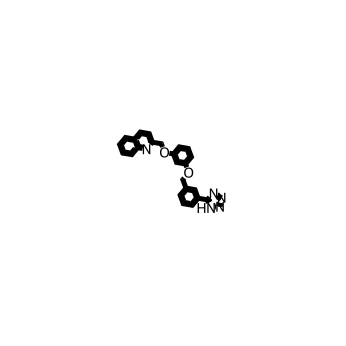 c1cc(OCc2cccc(-c3nnn[nH]3)c2)cc(OCc2ccc3ccccc3n2)c1